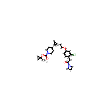 CC1(OC(=O)N2CCC([C@H]3C[C@H]3CCOc3ccc(CC(=O)N4CCC4)c(Cl)c3)CC2)CC1